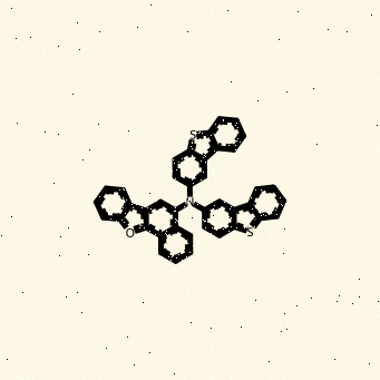 c1ccc2c(c1)oc1c3ccccc3c(N(c3ccc4sc5ccccc5c4c3)c3ccc4sc5ccccc5c4c3)cc21